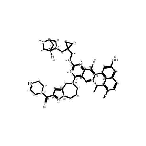 CCc1c(F)ccc2cc(O)cc(-c3ncc4c(N5CCCn6nc(C(=O)N7CCNCC7)cc6C5)nc(OCC5(CN6CC7C[C@H]6CO7)CC5)nc4c3F)c12